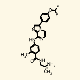 Cc1cc(Nc2nccn3c(-c4ccc(OC(F)F)cc4)cnc23)ccc1C(=O)NC[C@@H](C)N